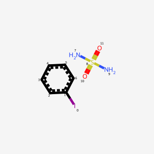 Ic1ccccc1.NS(N)(=O)=O